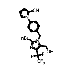 CCCCc1nc(C(F)(F)C(F)(F)F)c(CO)n1Cc1ccc(-n2cccc2C#N)cc1